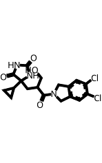 O=C1NC(=O)C(CC(CO)C(=O)N2Cc3cc(Cl)c(Cl)cc3C2)(C2CC2)N1